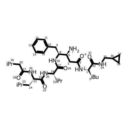 CC[C@H](C)[C@H](NC(=O)C[C@H](N)[C@H](Cc1ccccc1)NC(=O)[C@@H](NC(=O)[C@H](CC(C)C)NC(=O)CC(C)C)C(C)C)C(=O)NCC1CC1